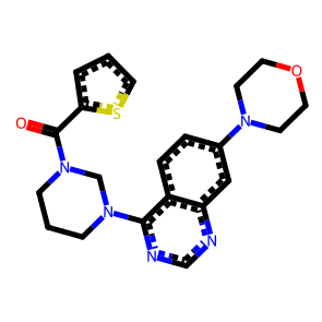 O=C(c1cccs1)N1CCCN(c2ncnc3cc(N4CCOCC4)ccc23)C1